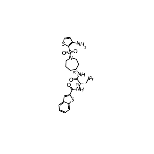 CC(C)C[C@H](NC(=O)c1cc2ccccc2s1)C(=O)N[C@@H]1CCCN(S(=O)(=O)c2sccc2N)CC1